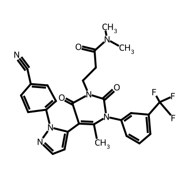 Cc1c(-c2ccnn2-c2ccc(C#N)cc2)c(=O)n(CCC(=O)N(C)C)c(=O)n1-c1cccc(C(F)(F)F)c1